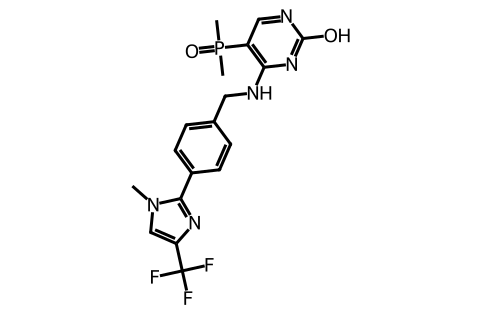 Cn1cc(C(F)(F)F)nc1-c1ccc(CNc2nc(O)ncc2P(C)(C)=O)cc1